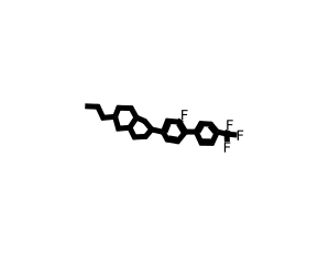 CCCC1CCC2CC(c3ccc(-c4ccc(C(F)(F)F)cc4)c(F)c3)CCC2C1